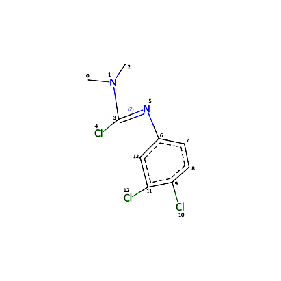 CN(C)/C(Cl)=N/c1ccc(Cl)c(Cl)c1